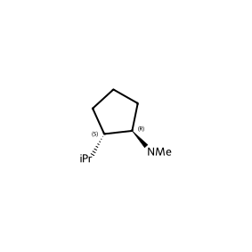 CN[C@@H]1CCC[C@H]1C(C)C